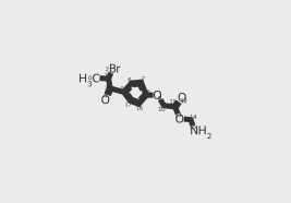 CC(Br)C(=O)c1ccc(OCC(=O)OCN)cc1